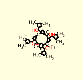 CCC1c2ccc(C(O)c3cc(C)cc(C)c3)c(c2)C(CC)c2ccc(C(O)c3cc(C)cc(C)c3)c(c2)C(CC)c2ccc(C(O)c3cc(C)cc(C)c3)c(c2)Cc2ccc(C(O)c3cc(C)cc(C)c3)c1c2